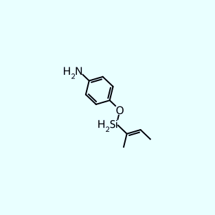 CC=C(C)[SiH2]Oc1ccc(N)cc1